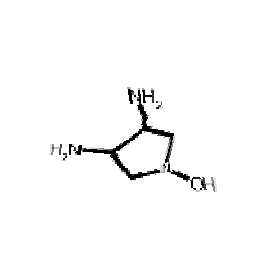 NC1CN(O)CC1N